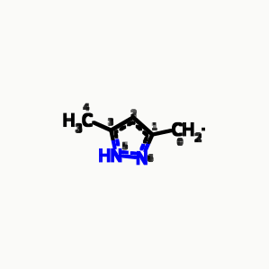 [CH2]c1cc(C)[nH]n1